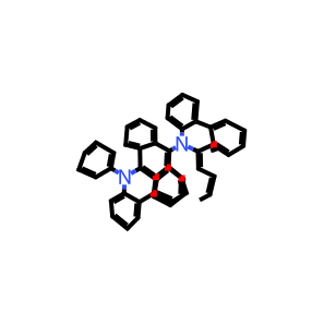 C=C/C(=C\C=C/C)N(c1ccccc1-c1ccccc1)c1c2ccccc2c(N(c2ccccc2)c2ccccc2-c2ccccc2)c2ccccc12